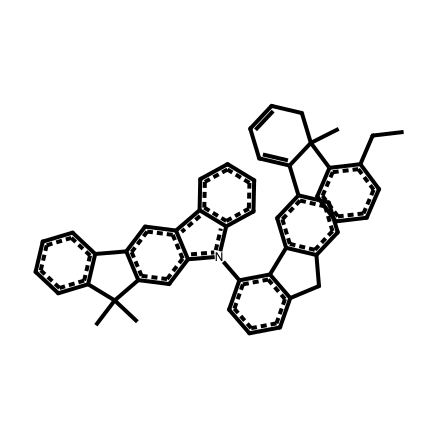 CCc1ccccc1C1(C)CC=CC=C1c1ccc2c(c1)-c1c(cccc1-n1c3ccccc3c3cc4c(cc31)C(C)(C)c1ccccc1-4)C2